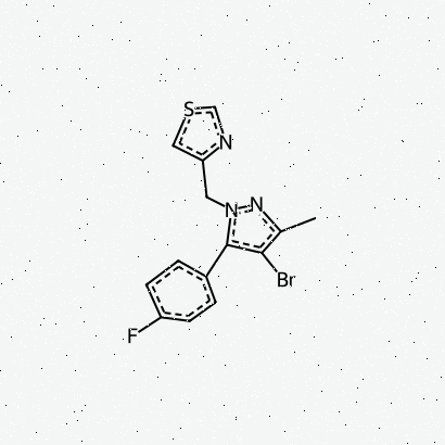 Cc1nn(Cc2cscn2)c(-c2ccc(F)cc2)c1Br